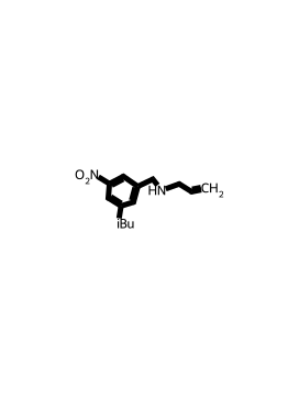 C=CCNCc1cc(C(C)CC)cc([N+](=O)[O-])c1